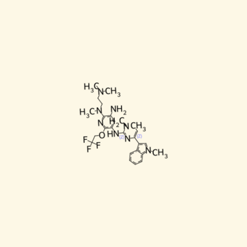 C=N/C(=N\C(=C/C)c1cn(C)c2ccccc12)Nc1cc(N)c(N(C)CCN(C)C)nc1OCC(F)(F)F